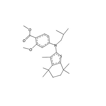 COC(=O)c1ccc(N(CC(C)C)c2sc3c(c2C)C(C)(C)CCC3(C)C)cc1OC